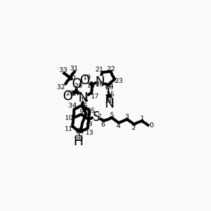 CCCCCCCSC12CC3C[C@H](C1)CC(N(CC(=O)N1CCC[C@H]1C#N)C(=O)OC(C)(C)C)(C3)C2